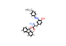 NC(Cc1ccc(O)c(N=Nc2ccc(C(=O)O)cc2)c1)C(=O)OC1c2ccccc2-c2ccccc21